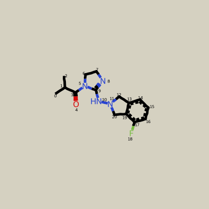 CC(C)C(=O)N1CCN=C1NN1Cc2cccc(F)c2C1